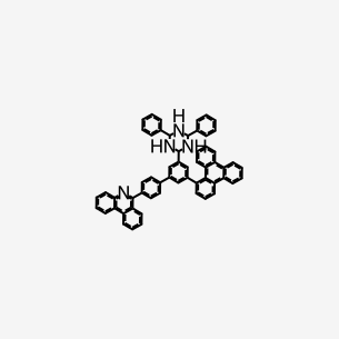 c1ccc(C2NC(c3ccccc3)NC(c3cc(-c4ccc(-c5nc6ccccc6c6ccccc56)cc4)cc(-c4cccc5c6ccccc6c6ccccc6c45)c3)N2)cc1